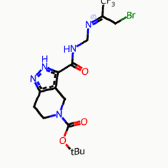 CC(C)(C)OC(=O)N1CCc2n[nH]c(C(=O)NC/N=C(\CBr)C(F)(F)F)c2C1